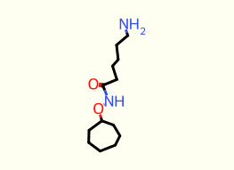 NCCCCCC(=O)NOC1CCCCCC1